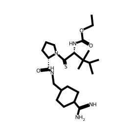 CCOC(=O)N[C@@H](C(=S)N1CCC[C@H]1C(=O)NCC1CCC(C(=N)N)CC1)C(C)(C)C(C)C